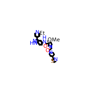 CCc1cc(-c2n[nH]c3ccc(NC(=O)[C@]4(COC)CCN(CC(=O)N5CC=C(c6nccs6)CC5)C4)cc23)ccn1